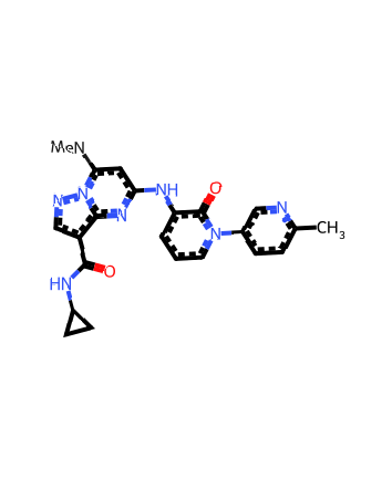 CNc1cc(Nc2cccn(-c3ccc(C)nc3)c2=O)nc2c(C(=O)NC3CC3)cnn12